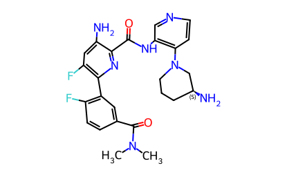 CN(C)C(=O)c1ccc(F)c(-c2nc(C(=O)Nc3cnccc3N3CCC[C@H](N)C3)c(N)cc2F)c1